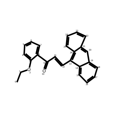 CCOc1ccccc1C(=O)C=Cc1c2ccccc2cc2ccccc12